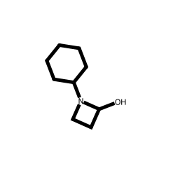 OC1CCN1C1CCCCC1